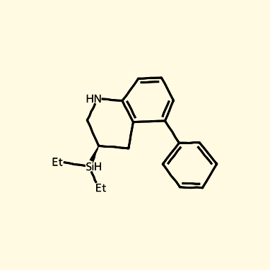 CC[SiH](CC)[C@H]1CNc2cccc(-c3ccccc3)c2C1